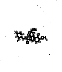 CCC(C)C(=O)Oc1c2n(cc(C(=O)NCc3ccc(F)cc3F)c1=O)CCC(C)C2=O